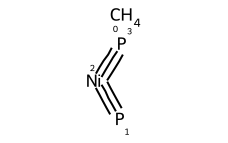 C.[P]#[Ni]#[P]